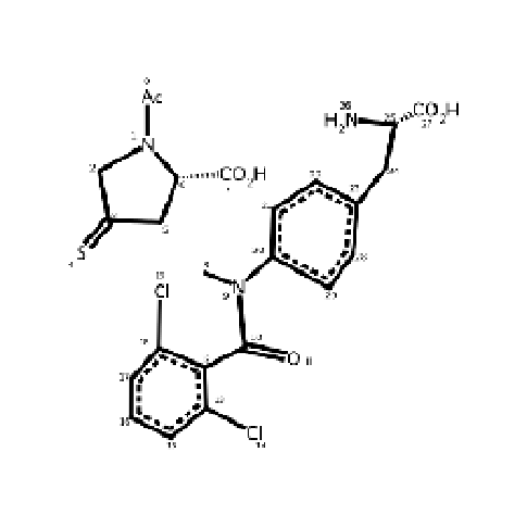 CC(=O)N1CC(=S)C[C@H]1C(=O)O.CN(C(=O)c1c(Cl)cccc1Cl)c1ccc(C[C@H](N)C(=O)O)cc1